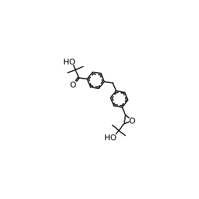 CC(C)(O)C(=O)c1ccc(Cc2ccc(C3OC3C(C)(C)O)cc2)cc1